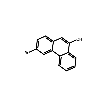 Oc1cc2ccc(Br)cc2c2ccccc12